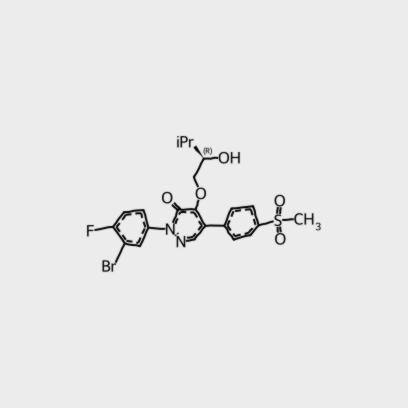 CC(C)[C@@H](O)COc1c(-c2ccc(S(C)(=O)=O)cc2)cnn(-c2ccc(F)c(Br)c2)c1=O